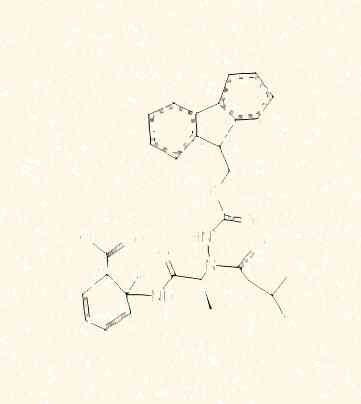 CC(C)CC(=O)N(NC(=O)OCC1c2ccccc2-c2ccccc21)[C@@H](C)C(=O)NC1(I)C=CC=C[C@H]1C(=O)O